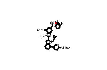 COc1cc(C(=O)[C@]23CC[C@H](CN2)[C@H]3N)cc2nc(-c3cc4cccc(-c5ccc(NC(C)=O)nc5)c4n3CC3CC3)n(C)c12